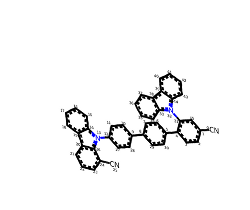 N#Cc1ccc(-c2ccc(-c3ccc(-n4c5ccccc5c5cccc(C#N)c54)cc3)cc2)c(-n2c3ccccc3c3ccccc32)c1